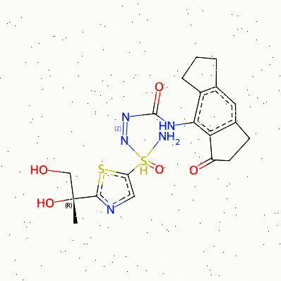 C[C@@](O)(CO)c1ncc([SH](N)(=O)/N=N\C(=O)Nc2c3c(cc4c2C(=O)CC4)CCC3)s1